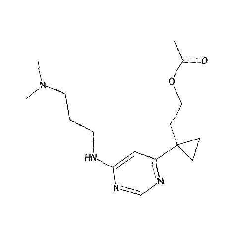 CC(=O)OCCC1(c2cc(NCCCN(C)C)ncn2)CC1